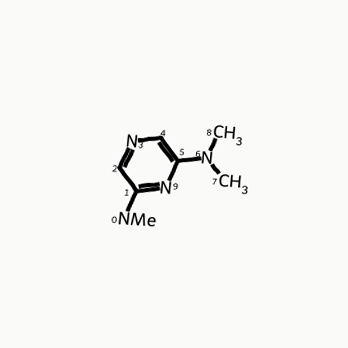 CNc1cncc(N(C)C)n1